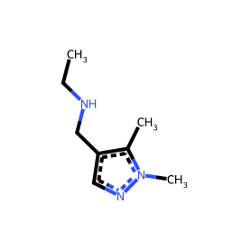 CCNCc1cnn(C)c1C